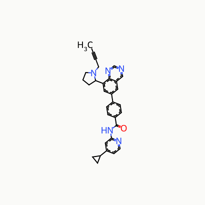 CC#CCN1CCCC1c1cc(-c2ccc(C(=O)Nc3cc(C4CC4)ccn3)cc2)cc2cncnc12